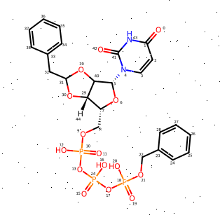 O=c1ccn([C@@H]2O[C@H](COP(=O)(O)OP(=O)(O)OP(=O)(O)OCc3ccccc3)[C@@H]3OC(Cc4ccccc4)OC32)c(=O)[nH]1